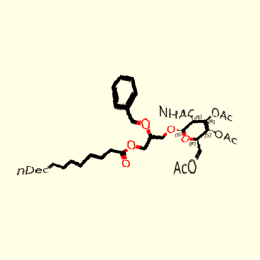 CCCCCCCCCCCCCCCCCC(=O)OCC(CO[C@H]1O[C@H](COC(C)=O)[C@@H](OC(C)=O)[C@H](OC(C)=O)[C@H]1NC(C)=O)OCc1ccccc1